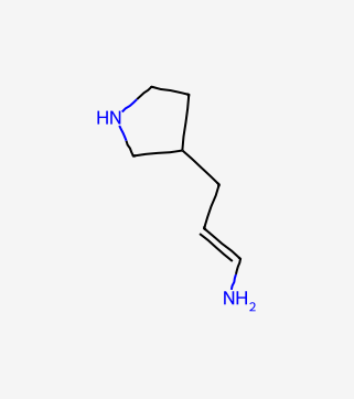 NC=CCC1CCNC1